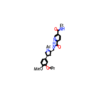 CCNC(=O)c1ccc(C(=O)NC[C@H]2C[C@@H](c3ccc(OC)c(OC(C)C)c3)CN2C(C)=O)nc1